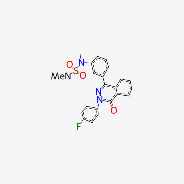 CNS(=O)(=O)N(C)c1cccc(-c2nn(-c3ccc(F)cc3)c(=O)c3ccccc23)c1